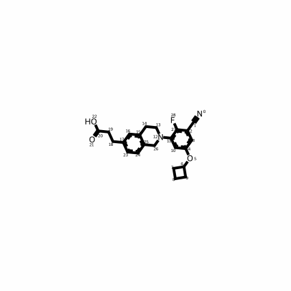 N#Cc1cc(OC2CCC2)cc(N2CCc3cc(CCC(=O)O)ccc3C2)c1F